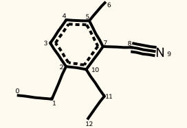 CCc1ccc(C)c(C#N)c1CC